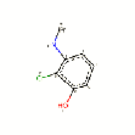 CC(C)[N]c1cccc(O)c1Cl